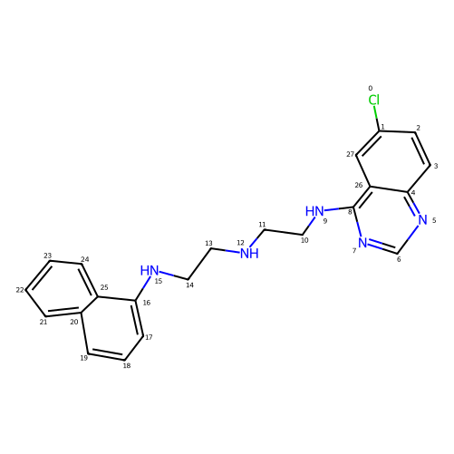 Clc1ccc2ncnc(NCCNCCNc3cccc4ccccc34)c2c1